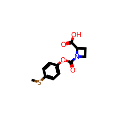 CSc1ccc(OC(=O)N2CCC2C(=O)O)cc1